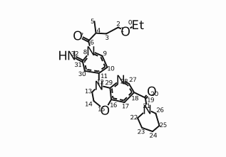 CCOCCC(C)C(=O)n1ccc(N2CCOc3cc(C(=O)N4CCCCC4)cnc32)cc1=N